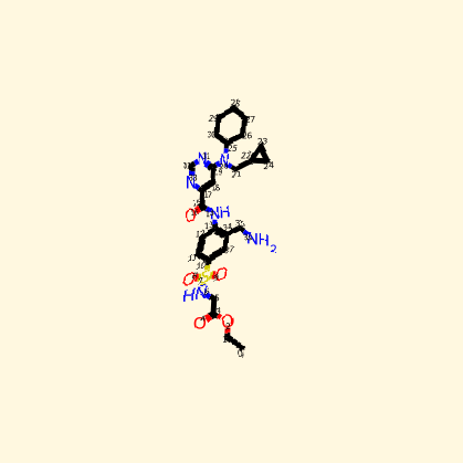 CCOC(=O)CNS(=O)(=O)c1ccc(NC(=O)c2cc(N(CC3CC3)C3CCCCC3)ncn2)c(CN)c1